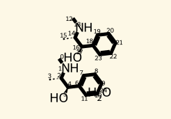 CN[C@@H](C)[C@H](O)c1ccccc1.CN[C@@H](C)[C@H](O)c1ccccc1.O